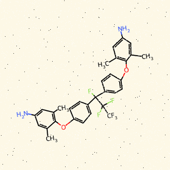 Cc1cc(N)cc(C)c1Oc1ccc(C(F)(c2ccc(Oc3c(C)cc(N)cc3C)cc2)C(F)(F)C(F)(F)F)cc1